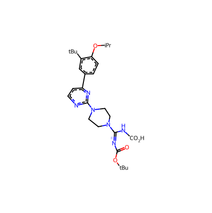 CC(C)Oc1ccc(-c2ccnc(N3CCN(/C(=N/C(=O)OC(C)(C)C)NC(=O)O)CC3)n2)cc1C(C)(C)C